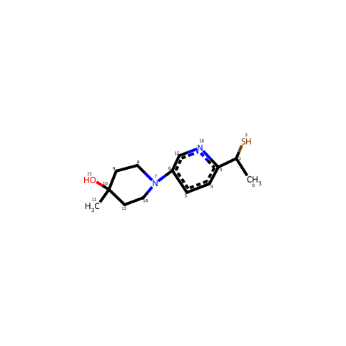 CC(S)c1ccc(N2CCC(C)(O)CC2)cn1